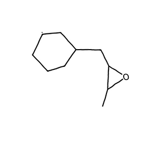 CC1OC1CC1C[CH]CCC1